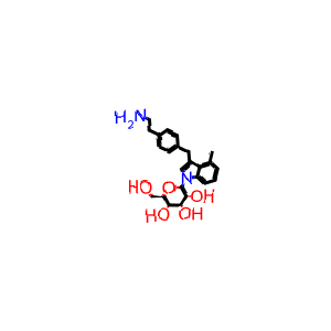 Cc1cccc2c1c(Cc1ccc(CCN)cc1)cn2[C@@H]1O[C@H](CO)[C@@H](O)[C@H](O)[C@H]1O